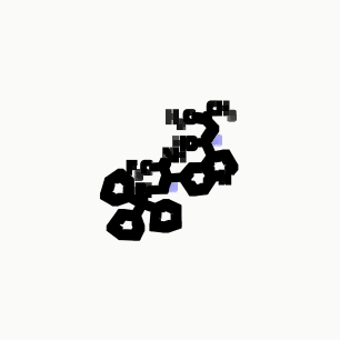 C=C(C)/C=C(\O)c1ccnc2ccc(/C(=C/NC(c3ccccc3)(c3ccccc3)c3ccccc3)C(=N)C(F)(F)F)cc12